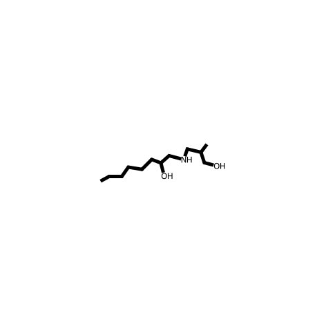 CCCCCCC(O)CNCC(C)CO